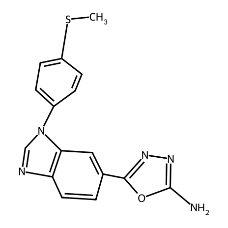 CSc1ccc(-n2cnc3ccc(-c4nnc(N)o4)cc32)cc1